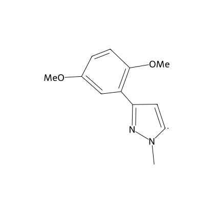 COc1ccc(OC)c(-c2c[c]n(C)n2)c1